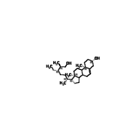 CC[C@@H](CC[C@@H](C)[C@H]1CCC2C3CC=C4C[C@@H](O)CC[C@]4(C)C3CC[C@@]21C)[C@@H](C)CO